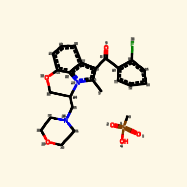 CS(=O)(=O)O.Cc1c(C(=O)c2ccccc2F)c2cccc3c2n1C(CN1CCOCC1)CO3